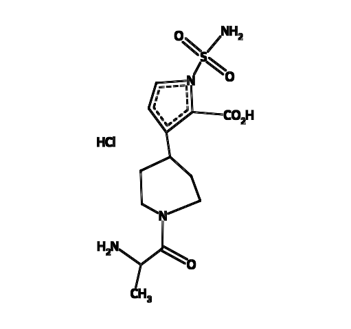 CC(N)C(=O)N1CCC(c2ccn(S(N)(=O)=O)c2C(=O)O)CC1.Cl